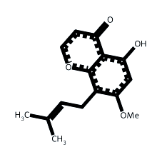 COc1cc(O)c2c(=O)ccoc2c1CC=C(C)C